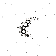 CSc1ccc(C=C2C(=O)Nc3ccc([N+](=O)[O-])cc32)s1